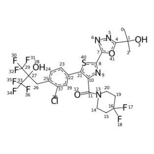 CC(C)(O)c1nnc(-c2nc(C(=O)N3CCC(F)(F)CC3)c(-c3ccc(CC(O)(C(F)(F)F)C(F)(F)F)c(Cl)c3)s2)o1